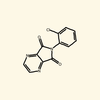 O=C1c2nccnc2C(=O)N1c1ccccc1Cl